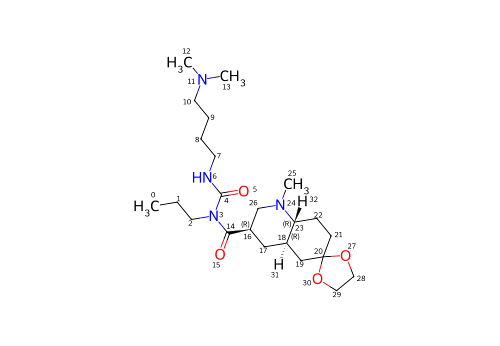 CCCN(C(=O)NCCCCN(C)C)C(=O)[C@@H]1C[C@@H]2CC3(CC[C@H]2N(C)C1)OCCO3